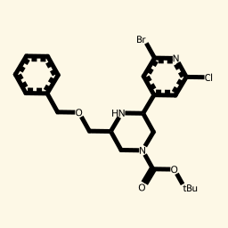 CC(C)(C)OC(=O)N1CC(COCc2ccccc2)NC(c2cc(Cl)nc(Br)c2)C1